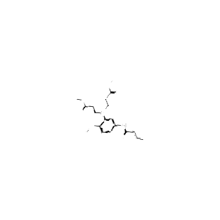 CCCC(=O)Nc1ccc(OC)c(N(CCC(=O)OC)CCC(=O)OC)c1